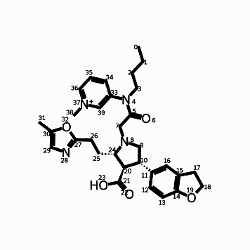 CCCCN(C(=O)CN1C[C@H](c2ccc3c(c2)CCO3)[C@@H](C(=O)O)[C@@H]1CCc1ncc(C)o1)c1ccc[n+](C)c1